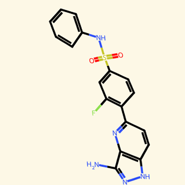 Nc1n[nH]c2ccc(-c3ccc(S(=O)(=O)Nc4ccccc4)cc3F)nc12